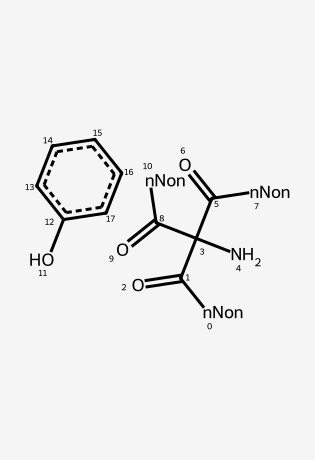 CCCCCCCCCC(=O)C(N)(C(=O)CCCCCCCCC)C(=O)CCCCCCCCC.Oc1ccccc1